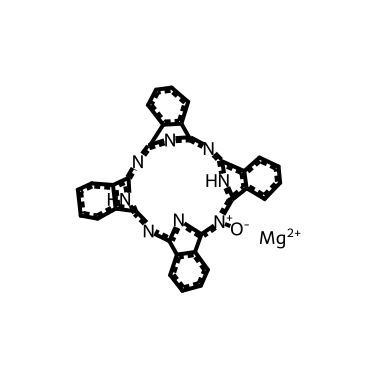 [Mg+2].[O-][n+]1c2nc(nc3[nH]c(nc4nc(nc5[nH]c1c1ccccc51)-c1ccccc1-4)c1ccccc31)-c1ccccc1-2